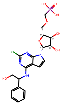 O=P(O)(O)COC[C@H]1O[C@@H](n2ccc3c(NC(CO)c4ccccc4)nc(Cl)nc32)[C@H](O)[C@@H]1O